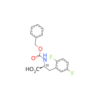 O=C(N[C@@H](Cc1cc(F)ccc1F)C(=O)O)OCc1ccccc1